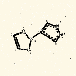 C1=COB(c2cn[nH]c2)O1